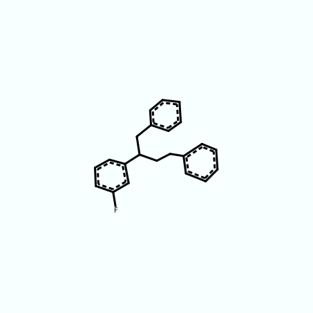 Fc1cccc([C](CCc2ccccc2)Cc2ccccc2)c1